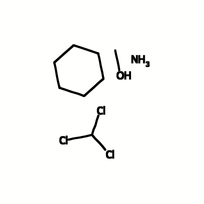 C1CCCCC1.CO.ClC(Cl)Cl.N